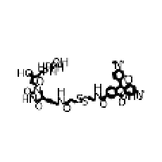 CN(C)c1ccc2c(-c3ccc(C(=O)NCCSSCCC(=O)NCC#Cc4cn(C5CC(O)C(CPPPO)O5)c(=O)[nH]c4=O)cc3C(=O)O)c3ccc(=[N+](C)C)cc-3oc2c1